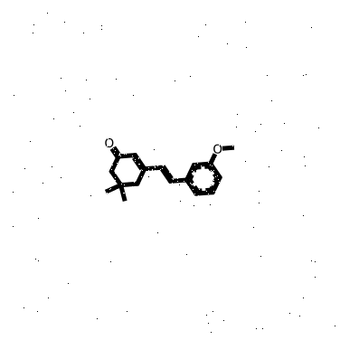 COc1cccc(C=CC2=CC(=O)CC(C)(C)C2)c1